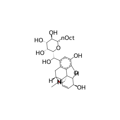 CCCCCCCC[C]1O[C@H](C(O)c2cc(O)c3c4c2C[C@@H]2[C@@H]5C=C[C@H](O)[C@H](O3)[C@]45CCN2C)[C@H](O)[C@H](O)[C@H]1O